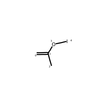 C=C(C)OI